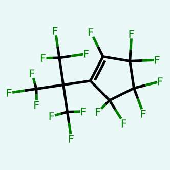 FC1=C(C(C(F)(F)F)(C(F)(F)F)C(F)(F)F)C(F)(F)C(F)(F)C1(F)F